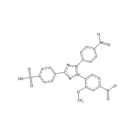 COc1cc([N+](=O)[O-])ccc1-[n+]1nc(-c2ccc(S(=O)(=O)O)cc2)nn1-c1ccc([N+](=O)[O-])cc1